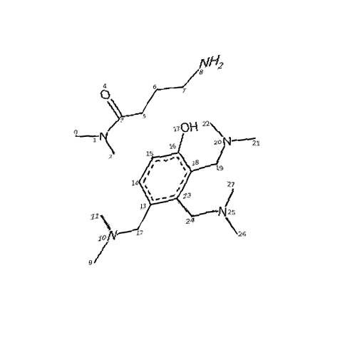 CN(C)C(=O)CCCN.CN(C)Cc1ccc(O)c(CN(C)C)c1CN(C)C